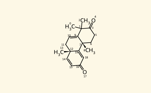 CC1(C)C(=O)CC[C@@]2(C)C1=CC[C@@]1(C)C=CC(=O)C=C21